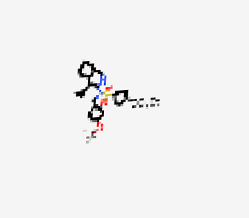 CCOC(=O)c1ccc(S(=O)(=O)N(Cc2ccc(OC(F)(F)F)cc2)c2ncc3ccccc3c2C2CC2)cc1